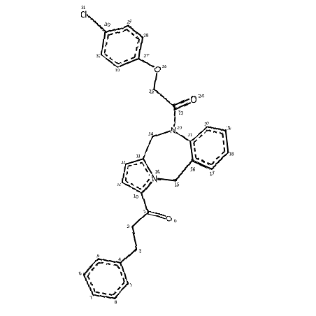 O=C(CCc1ccccc1)c1ccc2n1Cc1ccccc1N(C(=O)COc1ccc(Cl)cc1)C2